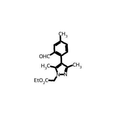 CCOC(=O)Cn1nc(C)c(-c2ccc(C)cc2C=O)c1C